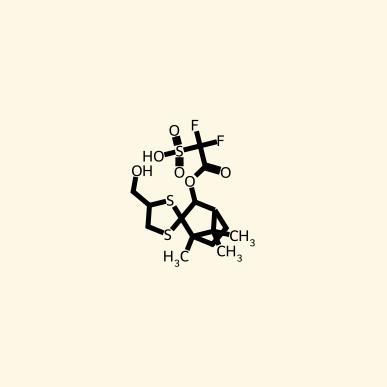 CC1(C)C2CCC1(C)C1(SCC(CO)S1)C2OC(=O)C(F)(F)S(=O)(=O)O